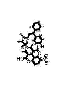 CC1=C(C(=O)O)C(c2cccc([N+](=O)[O-])c2)C(C(=O)O)=C(C)N1C(C)(C)C(C)N(C)CCC(c1ccccc1)c1ccccc1